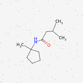 CC(C)CC(=O)NC1(C)CCCC1